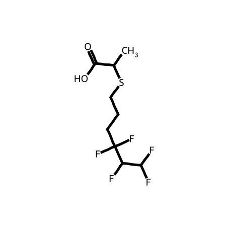 CC(SCCCC(F)(F)C(F)C(F)F)C(=O)O